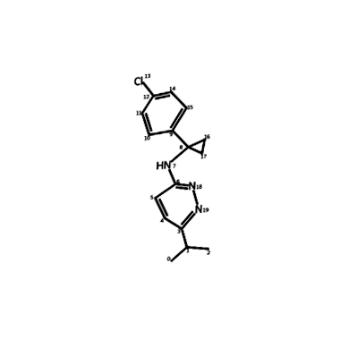 CC(C)c1ccc(NC2(c3ccc(Cl)cc3)CC2)nn1